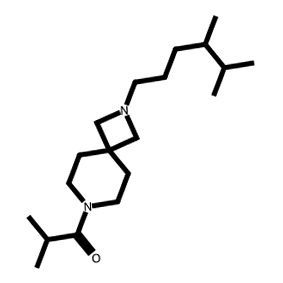 CC(C)C(=O)N1CCC2(CC1)CN(CCCC(C)C(C)C)C2